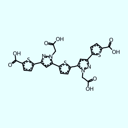 O=C(O)Cn1nc(-c2ccc(C(=O)O)s2)cc1-c1ccc(-c2cc(-c3ccc(C(=O)O)s3)nn2CC(=O)O)s1